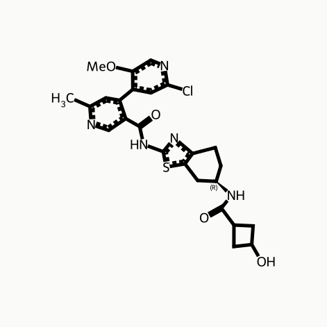 COc1cnc(Cl)cc1-c1cc(C)ncc1C(=O)Nc1nc2c(s1)C[C@H](NC(=O)C1CC(O)C1)CC2